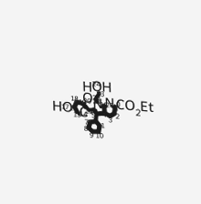 CCOC(=O)c1ccc2c(-c3ccccc3)c(-c3ccc(O)cc3O)n(CCO)c2n1